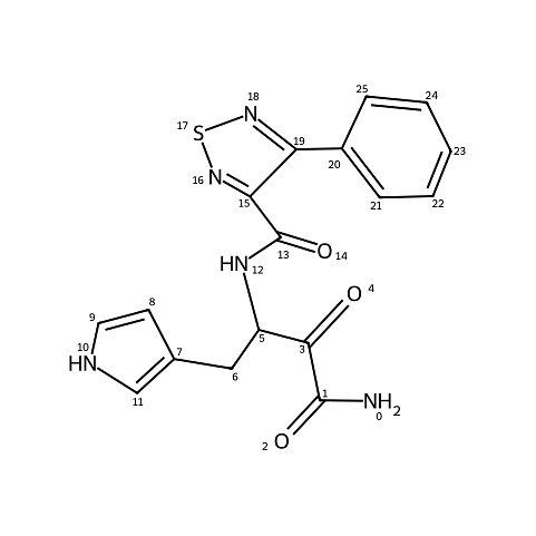 NC(=O)C(=O)C(Cc1cc[nH]c1)NC(=O)c1nsnc1-c1ccccc1